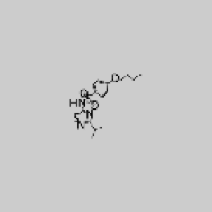 CCCCOc1ccc(S(=O)(=O)Nc2nc(C(C)C)ns2)cc1